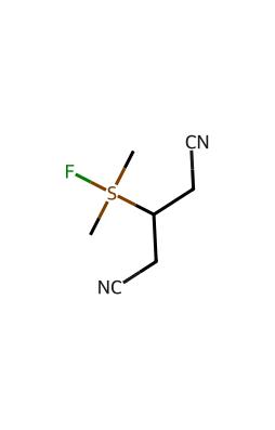 CS(C)(F)C(CC#N)CC#N